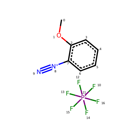 COc1ccccc1[N+]#N.F[P-](F)(F)(F)(F)F